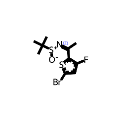 C/C(=N/[S+]([O-])C(C)(C)C)c1sc(Br)cc1F